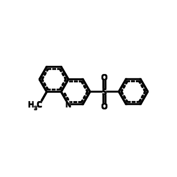 Cc1cccc2cc(S(=O)(=O)c3ccccc3)cnc12